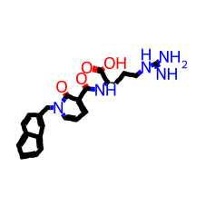 N=C(N)NCCC[C@H](NC(=O)c1cccn(Cc2ccc3ccccc3c2)c1=O)C(=O)O